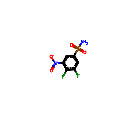 NS(=O)(=O)c1cc(F)c(F)c([N+](=O)[O-])c1